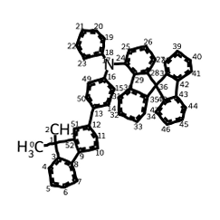 CC1(C)c2ccccc2-c2ccc(-c3ccc(N(c4ccccc4)c4cccc5c4-c4ccccc4C54c5ccccc5-c5ccccc54)cc3)cc21